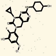 CCOc1cc(O)c(F)c(N2Cc3cnc(NC4CCC(O)CC4)nc3N(C3CC3)C2=O)c1